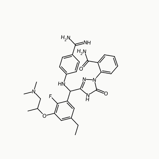 CCc1cc(OC(C)CN(C)C)c(F)c(C(Nc2ccc(C(=N)N)cc2)c2nn(-c3ccccc3C(N)=O)c(=O)[nH]2)c1